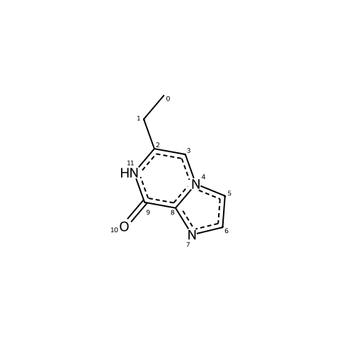 CCc1cn2ccnc2c(=O)[nH]1